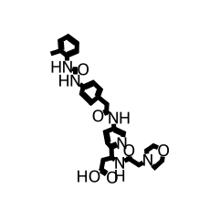 Cc1ccccc1NC(=O)Nc1ccc(CC(=O)Nc2ccc(C(CC(=O)O)NC(=O)CN3CCOCC3)nc2)cc1